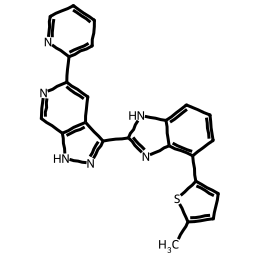 Cc1ccc(-c2cccc3[nH]c(-c4n[nH]c5cnc(-c6ccccn6)cc45)nc23)s1